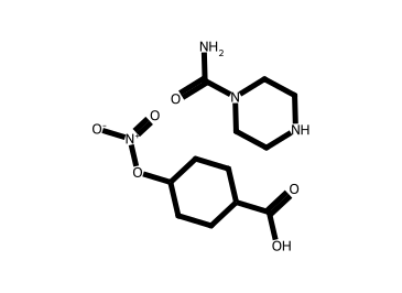 NC(=O)N1CCNCC1.O=C(O)C1CCC(O[N+](=O)[O-])CC1